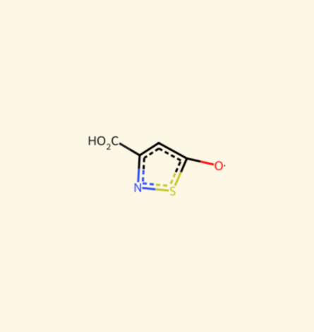 [O]c1cc(C(=O)O)ns1